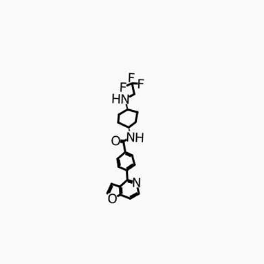 O=C(N[C@H]1CC[C@H](NCC(F)(F)F)CC1)c1ccc(-c2nccc3occc23)cc1